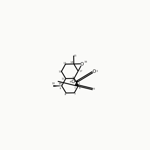 C=C1C(=O)OC23C1CC[C@@H](C)C2CCC1(C)OC13